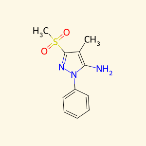 Cc1c(S(C)(=O)=O)nn(-c2ccccc2)c1N